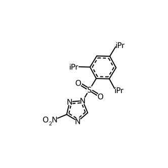 CC(C)c1cc(C(C)C)c(S(=O)(=O)n2cnc([N+](=O)[O-])n2)c(C(C)C)c1